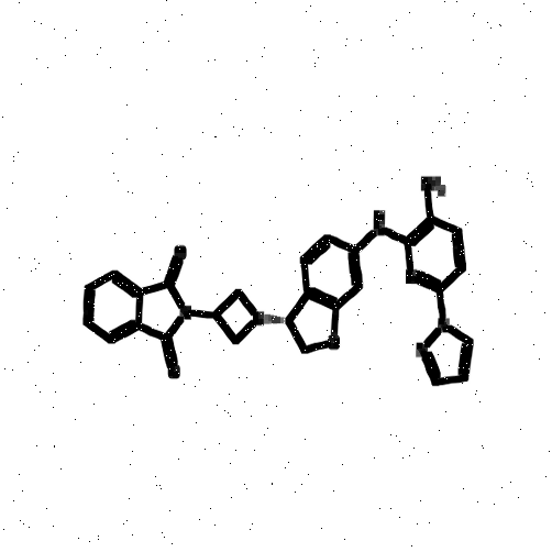 Nc1ccc(-n2cccn2)nc1Nc1ccc2c(c1)OC[C@@H]2N1CC(N2C(=O)c3ccccc3C2=O)C1